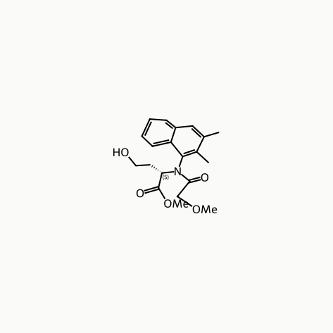 COCC(=O)N(c1c(C)c(C)cc2ccccc12)[C@@H](CCO)C(=O)OC